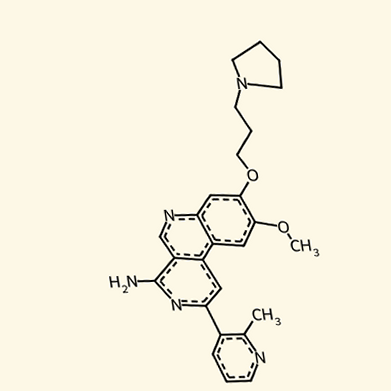 COc1cc2c(cc1OCCCN1CCCC1)ncc1c(N)nc(-c3cccnc3C)cc12